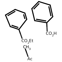 CC(C)=O.CCOC(=O)c1ccccc1.O=C(O)c1ccccc1